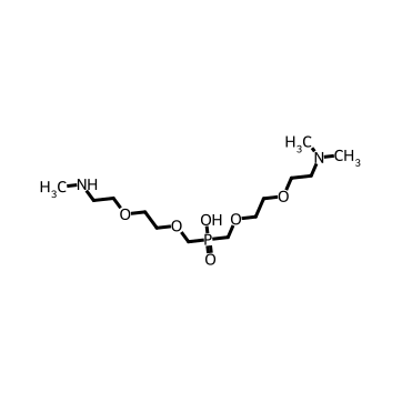 CNCCOCCOCP(=O)(O)COCCOCCN(C)C